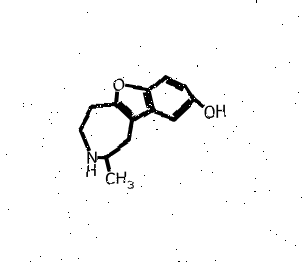 CC1Cc2c(oc3ccc(O)cc23)CCN1